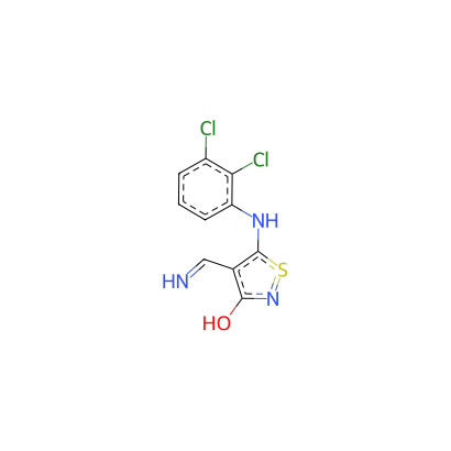 N=Cc1c(O)nsc1Nc1cccc(Cl)c1Cl